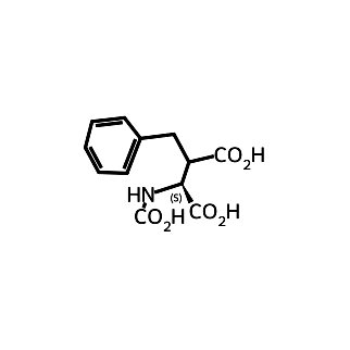 O=C(O)N[C@H](C(=O)O)C(Cc1ccccc1)C(=O)O